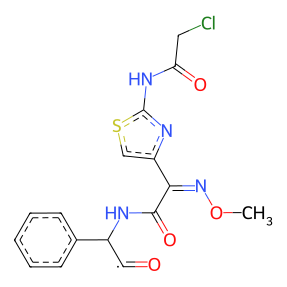 CO/N=C(\C(=O)NC([C]=O)c1ccccc1)c1csc(NC(=O)CCl)n1